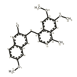 COc1ccc2nc(Cl)c(Cc3cnc(C)c4cc(OC)c(OC)cc34)cc2c1